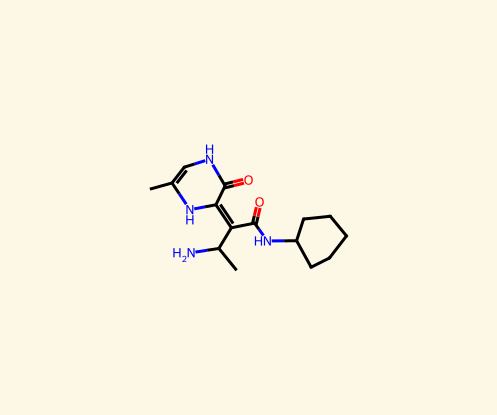 CC1=CNC(=O)/C(=C(\C(=O)NC2CCCCC2)C(C)N)N1